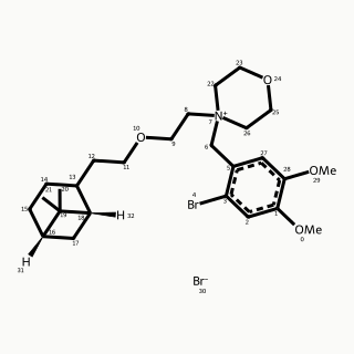 COc1cc(Br)c(C[N+]2(CCOCCC3CC[C@H]4C[C@@H]3C4(C)C)CCOCC2)cc1OC.[Br-]